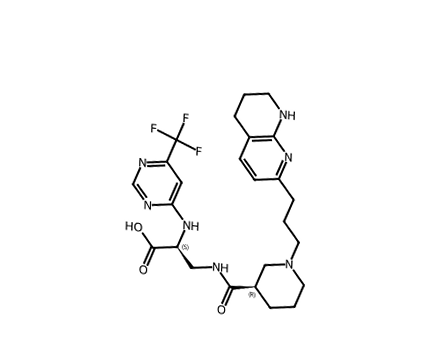 O=C(NC[C@H](Nc1cc(C(F)(F)F)ncn1)C(=O)O)[C@@H]1CCCN(CCCc2ccc3c(n2)NCCC3)C1